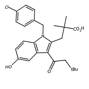 CC(C)(C)CC(=O)c1c(CC(C)(C)C(=O)O)n(Cc2ccc(Cl)cc2)c2ccc(O)cc12